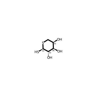 O[C@H]1[C@H](O)[C@@H](S)SC[C@H]1O